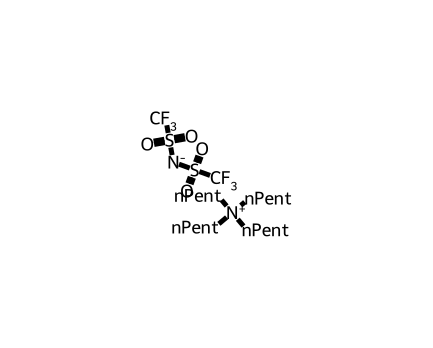 CCCCC[N+](CCCCC)(CCCCC)CCCCC.O=S(=O)([N-]S(=O)(=O)C(F)(F)F)C(F)(F)F